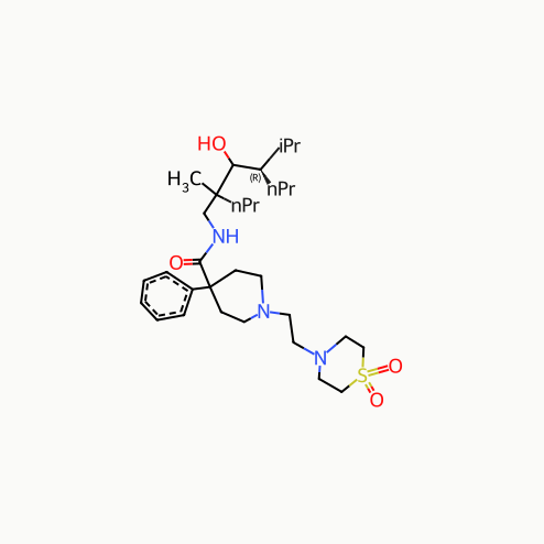 CCC[C@H](C(C)C)C(O)C(C)(CCC)CNC(=O)C1(c2ccccc2)CCN(CCN2CCS(=O)(=O)CC2)CC1